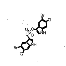 O=S(=O)(Oc1c[nH]c2cc(Cl)c(Br)cc12)Oc1c[nH]c2cc(Cl)c(Br)cc12